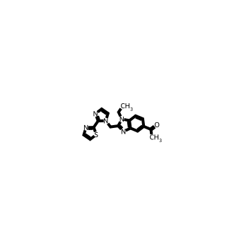 CCn1c(Cn2ccnc2-c2nccs2)nc2cc(C(C)=O)ccc21